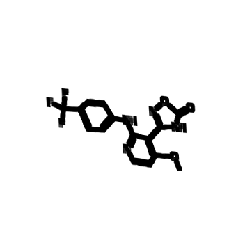 COc1ccnc(Nc2ccc(C(F)(F)F)cc2)c1-c1noc(=O)[nH]1